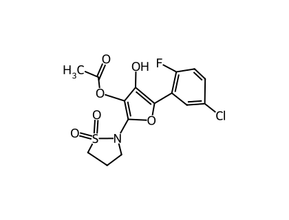 CC(=O)Oc1c(N2CCCS2(=O)=O)oc(-c2cc(Cl)ccc2F)c1O